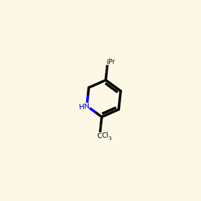 CC(C)C1=CC=C(C(Cl)(Cl)Cl)NC1